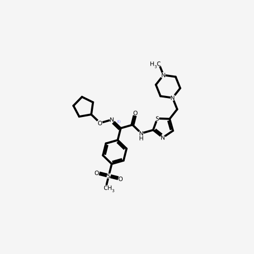 CN1CCN(Cc2cnc(NC(=O)/C(=N/OC3CCCC3)c3ccc(S(C)(=O)=O)cc3)s2)CC1